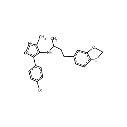 Cc1noc(-c2ccc(Br)cc2)c1NC(C)CCc1ccc2c(c1)OCO2